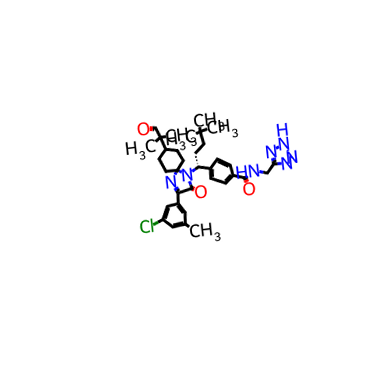 Cc1cc(Cl)cc(C2=NC3(CCC(C(C)(C)C=O)CC3)N([C@H](CCC(C)(C)C)c3ccc(C(=O)NCc4nn[nH]n4)cc3)C2=O)c1